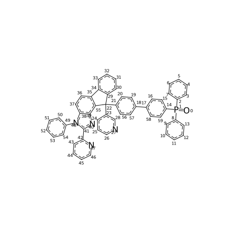 O=P(c1ccccc1)(c1ccccc1)c1ccc(-c2ccc(C3(c4cccnc4)c4ccccc4-c4ccc5c(nc(-c6ccccn6)n5-c5ccccc5)c43)cc2)cc1